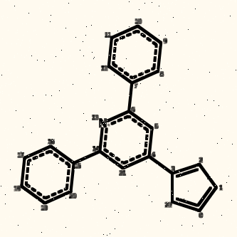 C1=CC=C(c2cc(-c3ccccc3)nc(-c3ccccc3)c2)C=1